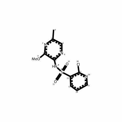 COc1nc(C)cnc1NS(=O)(=O)c1cccnc1Cl